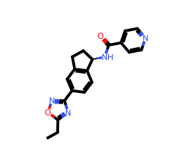 CCc1nc(-c2ccc3c(c2)CC[C@H]3NC(=O)c2ccncc2)no1